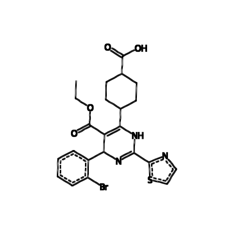 CCOC(=O)C1=C(C2CCC(C(=O)O)CC2)NC(c2nccs2)=NC1c1ccccc1Br